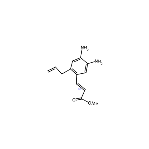 C=CCc1cc(N)c(N)cc1/C=C/C(=O)OC